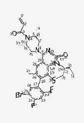 C=CC(=O)N1[C@H](C)CN(c2nc(=O)n3c4c(c(-c5cc(Br)c(F)cc5F)c(C)cc24)SC[C@@H]3CC)C[C@@H]1C